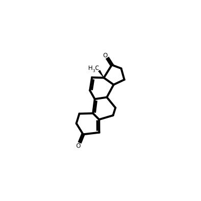 C[C@]12C=CC3=C4CCC(=O)C=C4CCC3C1CCC2=O